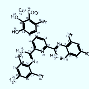 CC(=Nc1c(C(C)C)cc(C)cc1C(C)C)c1cccc(C(C)=Nc2c(C(C)C)cc(C)cc2C(C)C)n1.CC(C)c1ccc(O)c(O)c1C(=O)[O-].[Co+]